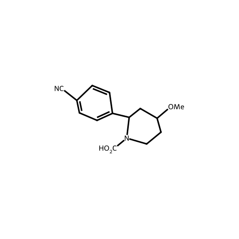 COC1CCN(C(=O)O)C(c2ccc(C#N)cc2)C1